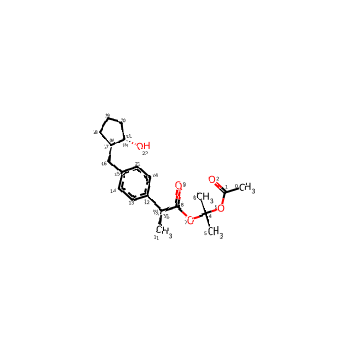 CC(=O)OC(C)(C)OC(=O)[C@@H](C)c1ccc(C[C@H]2CCC[C@@H]2O)cc1